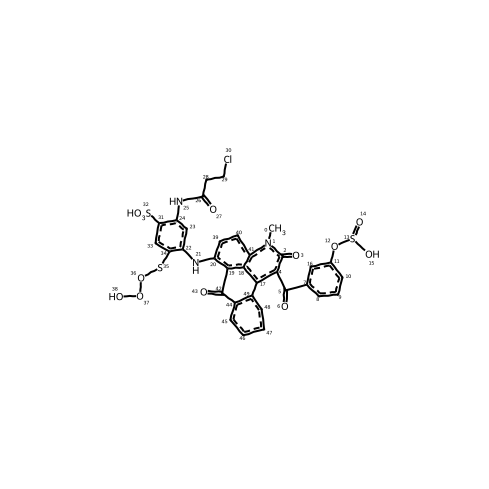 Cn1c(=O)c(C(=O)c2cccc(OS(=O)O)c2)c2c3c(c(Nc4cc(NC(=O)CCCl)c(S(=O)(=O)O)cc4SOOO)ccc31)C(=O)c1ccccc1-2